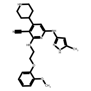 COc1ccccc1OCCNc1nc(Nc2cc(C)[nH]n2)cc(C2CCNCC2)c1C#N